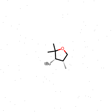 C[C@H]1COC(C)(C)[C@H]1C(C)(C)C